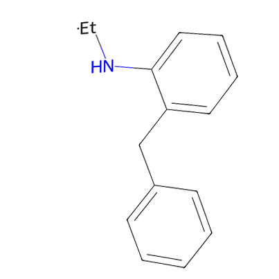 C[CH]Nc1ccccc1Cc1ccccc1